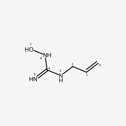 C=CCNC(=N)NO